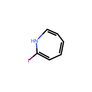 IC1=CC=CC=CN1